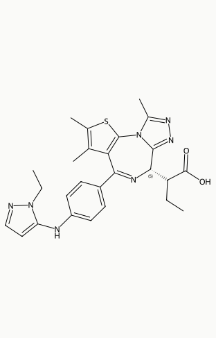 CCC(C(=O)O)[C@@H]1N=C(c2ccc(Nc3ccnn3CC)cc2)c2c(sc(C)c2C)-n2c(C)nnc21